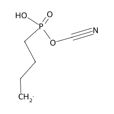 [CH2]CCCP(=O)(O)OC#N